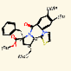 COC[C@@H]1C[C@@](Cc2ccccc2)(C(=O)OC(C)(C)C)N(C(=O)c2ccc(C(C)(C)C)c(OC)c2)[C@H]1c1nccs1